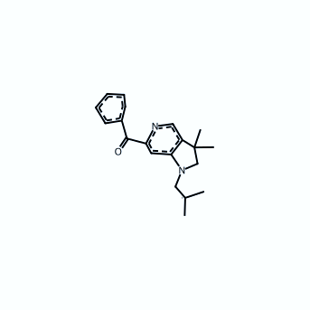 C[C](C)CN1CC(C)(C)c2cnc(C(=O)c3ccccc3)cc21